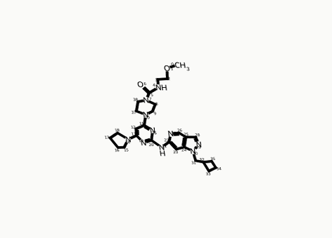 COCCNC(=O)N1CCN(c2cc(N3CCCC3)nc(Nc3cc4c(cn3)cnn4CC3CCC3)n2)CC1